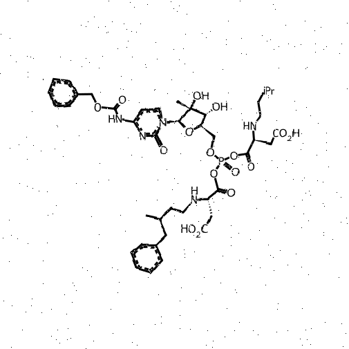 CC(C)CCN[C@@H](CC(=O)O)C(=O)OP(=O)(OC[C@H]1O[C@@H](n2ccc(NC(=O)OCc3ccccc3)nc2=O)[C@](C)(O)[C@@H]1O)OC(=O)[C@H](CC(=O)O)NCCC(C)Cc1ccccc1